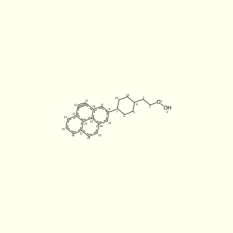 OOCCC1CCC(c2cc3c#cc4cccc5ccc(c2)c3c45)CC1